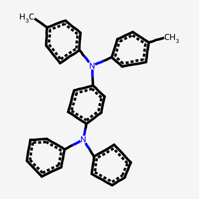 Cc1ccc(N(c2ccc(C)cc2)c2ccc(N(c3ccccc3)c3ccccc3)cc2)cc1